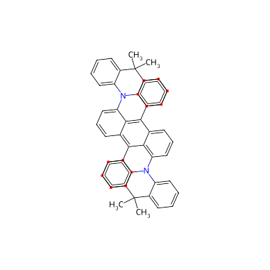 CC1(C)c2ccccc2N(c2cccc3c(-c4ccccc4)c4c(N5c6ccccc6C(C)(C)c6ccccc65)cccc4c(-c4ccccc4)c23)c2ccccc21